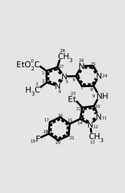 CCOC(=O)c1c(C)nn(-c2cc(Nc3nn(C)c(-c4ccc(F)cc4)c3CC)ncn2)c1C